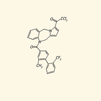 Cc1cc(C(=O)N2Cc3ccc(C(=O)C(Cl)(Cl)Cl)n3Cc3ccccc32)ccc1-c1ccccc1C(F)(F)F